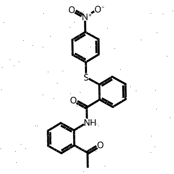 CC(=O)c1ccccc1NC(=O)c1ccccc1Sc1ccc([N+](=O)[O-])cc1